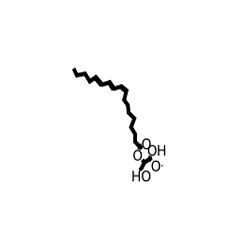 CCCC/C=C/C=C/C=C\CCCCCCCC(=O)OC(CO)C([O])O